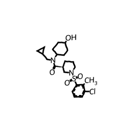 Cc1c(Cl)cccc1S(=O)(=O)N1CCC[C@H](C(=O)N(CC2CC2)C2CCC(O)CC2)C1